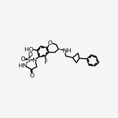 O=C1CN(c2c(O)cc3c(c2F)C[C@H](NCC2CC(c4ccccc4)C2)CO3)S(=O)(=O)N1